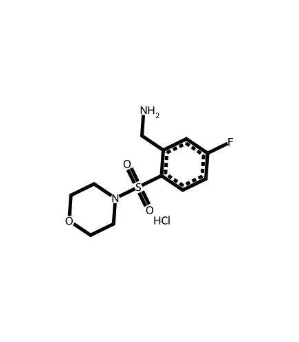 Cl.NCc1cc(F)ccc1S(=O)(=O)N1CCOCC1